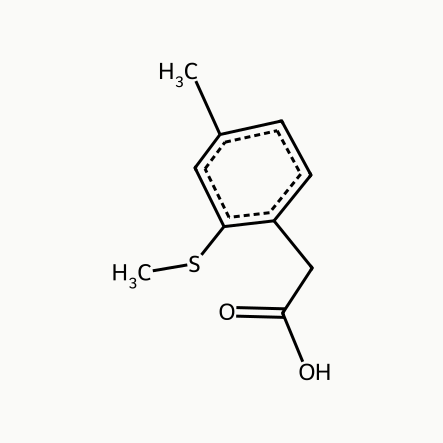 CSc1cc(C)ccc1CC(=O)O